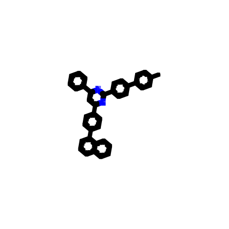 Cc1ccc(-c2ccc(-c3nc(-c4ccccc4)cc(-c4ccc(-c5cccc6ccccc56)cc4)n3)cc2)cc1